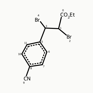 CCOC(=O)C(Br)C(Br)c1ccc(C#N)cc1